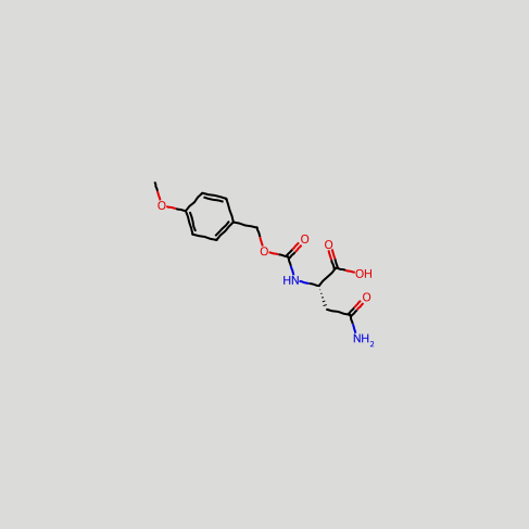 COc1ccc(COC(=O)N[C@@H](CC(N)=O)C(=O)O)cc1